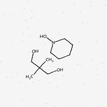 CC(C)(CO)CO.ON1CCCCC1